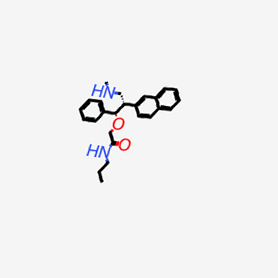 CCCNC(=O)CO[C@H](c1ccccc1)[C@H](CNC)c1ccc2ccccc2c1